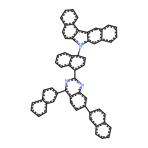 c1ccc2cc(-c3ccc4c(-c5ccc6ccccc6c5)nc(-c5ccc(-n6c7cc8ccccc8cc7c7c8ccccc8ccc76)c6ccccc56)nc4c3)ccc2c1